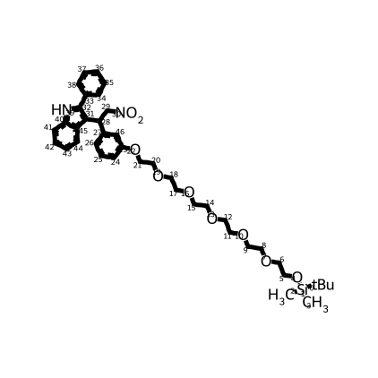 CC(C)(C)[Si](C)(C)OCCOCCOCCOCCOCCOCCOc1cccc(C(C[N+](=O)[O-])c2c(-c3ccccc3)[nH]c3ccccc23)c1